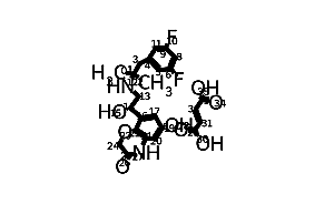 CC(C)(Cc1cc(F)cc(F)c1)NC[C@H](O)c1cc(O)cc2c1OCC(=O)N2.O=C(O)C=CC(=O)O